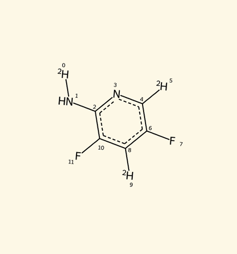 [2H]Nc1nc([2H])c(F)c([2H])c1F